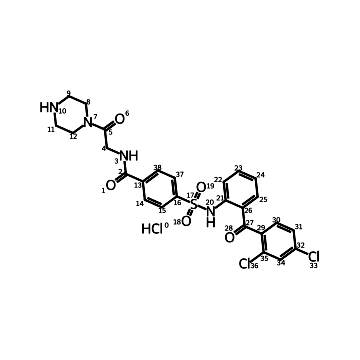 Cl.O=C(NCC(=O)N1CCNCC1)c1ccc(S(=O)(=O)Nc2ccccc2C(=O)c2ccc(Cl)cc2Cl)cc1